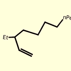 C=CC(CC)CCCCCCCCC